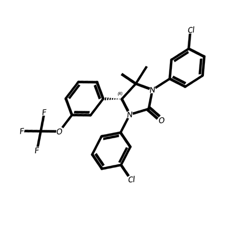 CC1(C)[C@@H](c2cccc(OC(F)(F)F)c2)N(c2cccc(Cl)c2)C(=O)N1c1cccc(Cl)c1